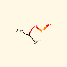 COC(OC)OP=O